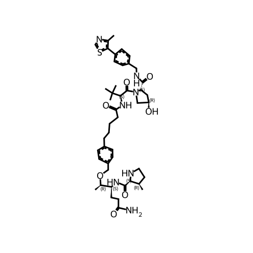 Cc1ncsc1-c1ccc(CNC(=O)[C@@H]2C[C@@H](O)CN2C(=O)[C@@H](NC(=O)CCCCc2ccc(CO[C@H](C)[C@H](CCC(N)=O)NC(=O)[C@H]3NCC[C@H]3C)cc2)C(C)(C)C)cc1